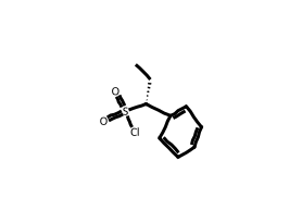 CC[C@H](c1ccccc1)S(=O)(=O)Cl